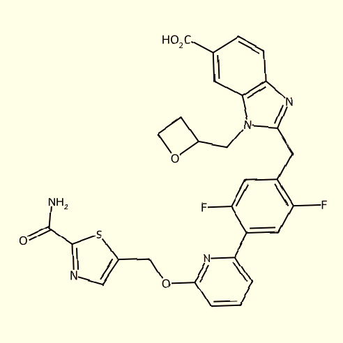 NC(=O)c1ncc(COc2cccc(-c3cc(F)c(Cc4nc5ccc(C(=O)O)cc5n4CC4CCO4)cc3F)n2)s1